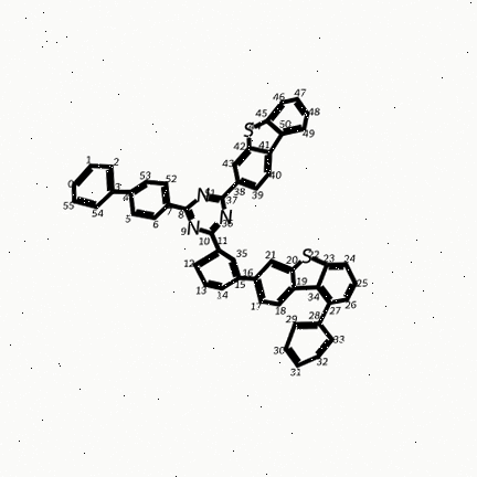 c1ccc(-c2ccc(-c3nc(-c4cccc(-c5ccc6c(c5)sc5cccc(-c7ccccc7)c56)c4)nc(-c4ccc5c(c4)sc4ccccc45)n3)cc2)cc1